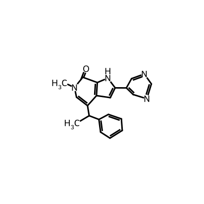 CC(c1ccccc1)c1cn(C)c(=O)c2[nH]c(-c3cncnc3)cc12